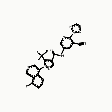 N#Cc1cc(NC(=O)c2cnn(-c3cncc4c(F)cccc34)c2C(F)(F)F)cnc1-n1nccn1